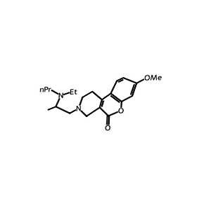 CCCN(CC)C(C)CN1CCc2c(c(=O)oc3cc(OC)ccc23)C1